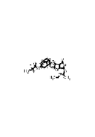 CCOC(C)OC1OC(=O)C2C1OC1SC3(SC12)C1CC2CC3CC(OC(=O)C(C)(F)F)(C2)C1